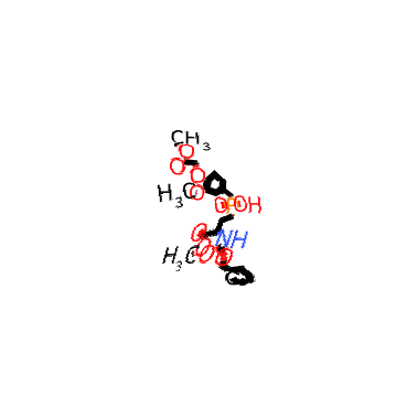 CCOC(=O)COc1ccc(CP(=O)(O)CCC(NC(=O)OCc2ccccc2)C(=O)OC)cc1OC